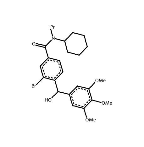 COc1cc(C(O)c2ccc(C(=O)N(C(C)C)C3CCCCC3)cc2Br)cc(OC)c1OC